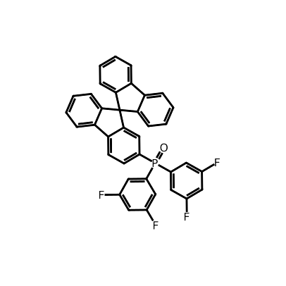 O=P(c1cc(F)cc(F)c1)(c1cc(F)cc(F)c1)c1ccc2c(c1)C1(c3ccccc3-c3ccccc31)c1ccccc1-2